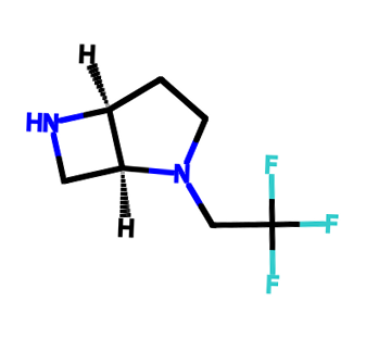 FC(F)(F)CN1CC[C@@H]2NC[C@@H]21